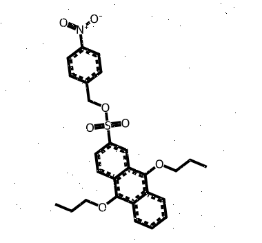 CCCOc1c2ccccc2c(OCCC)c2cc(S(=O)(=O)OCc3ccc([N+](=O)[O-])cc3)ccc12